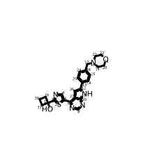 OC1(c2ncc(-c3ncnc4[nH]c(-c5ccc(CN6CCOCC6)cc5)cc34)s2)CCC1